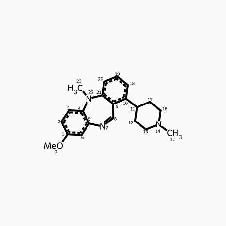 COc1ccc2c(c1)N=Cc1c(C3CCN(C)CC3)cccc1N2C